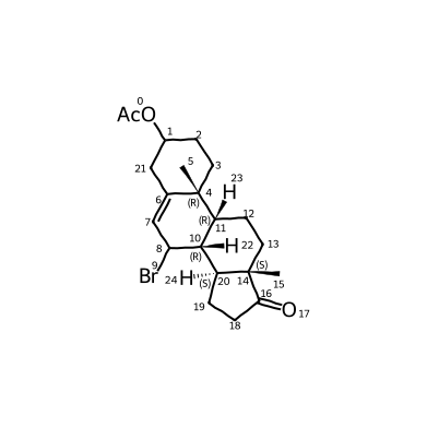 CC(=O)OC1CC[C@@]2(C)C(=CC(Br)[C@@H]3[C@H]2CC[C@]2(C)C(=O)CC[C@@H]32)C1